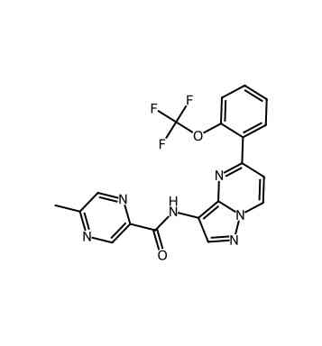 Cc1cnc(C(=O)Nc2cnn3ccc(-c4ccccc4OC(F)(F)F)nc23)cn1